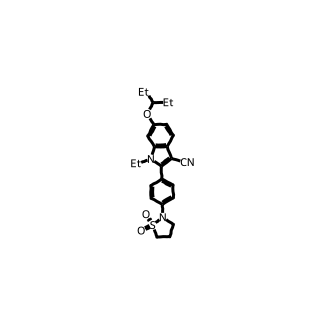 CCC(CC)Oc1ccc2c(C#N)c(-c3ccc(N4CCCS4(=O)=O)cc3)n(CC)c2c1